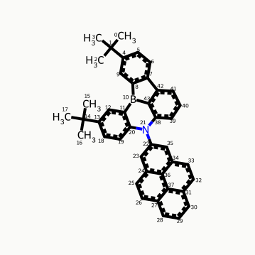 CC(C)(C)c1ccc2c(c1)B1c3cc(C(C)(C)C)ccc3N(c3cc4ccc5cccc6ccc(c3)c4c56)c3cccc-2c31